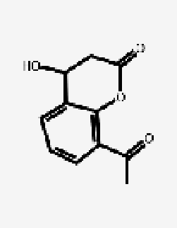 CC(=O)c1cccc2c1OC(=O)CC2O